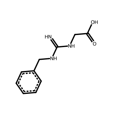 N=C(NCC(=O)O)NCc1ccccc1